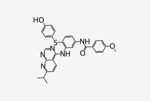 COc1ccc(C(=O)Nc2ccc(Sc3ccc(O)cc3)c(Nc3ncnc4nc(C(C)C)ccc34)c2)cc1